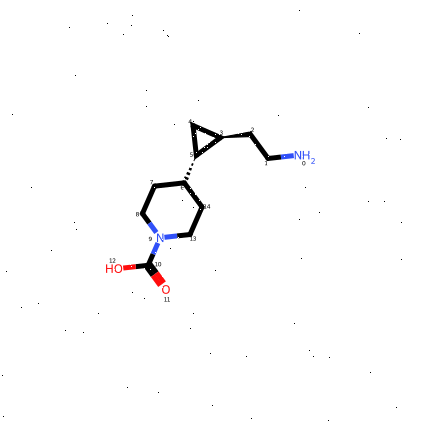 NCC[C@@H]1C[C@H]1C1CCN(C(=O)O)CC1